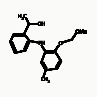 COCOc1ccc(C)cc1Pc1ccccc1C(C)O